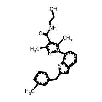 Cc1cccc(Cc2cc3cccc(-n4nc(C)c(C(=O)NCCO)c4C)c3s2)c1